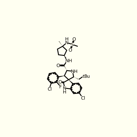 CC(C)(C)C[C@H]1N[C@@H](C(=O)N[C@H]2CC[C@@](C)(NS(C)(=O)=O)C2)[C@H](c2cccc(Cl)c2F)[C@@]12C(=O)Nc1cc(Cl)ccc12